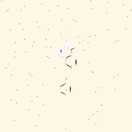 CC(=O)OCC(F)n1cnc2cc(OCc3cccc(F)c3)ccc2c1=O